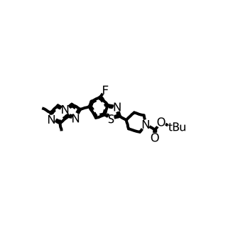 Cc1cn2cc(-c3cc(F)c4nc(C5CCN(C(=O)OC(C)(C)C)CC5)sc4c3)nc2c(C)n1